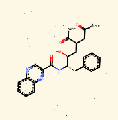 CNC(=O)CC(C[C@H](O)[C@H](Cc1ccccc1)NC(=O)c1cnc2ccccc2n1)C(=O)NC